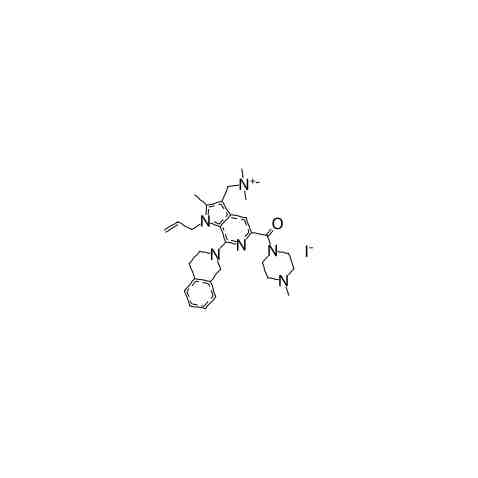 C=CCn1c(C)c(C[N+](C)(C)C)c2cc(C(=O)N3CCN(C)CC3)nc(N3CCc4ccccc4C3)c21.[I-]